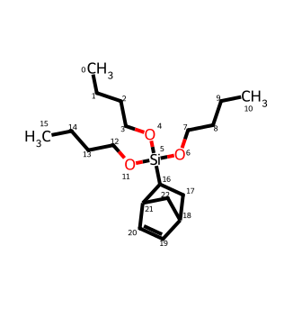 CCCCO[Si](OCCCC)(OCCCC)C1CC2C=CC1C2